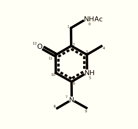 CC(=O)NCc1c(C)[nH]c(N(C)C)cc1=O